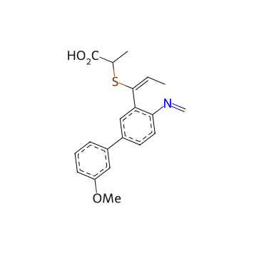 C=Nc1ccc(-c2cccc(OC)c2)cc1/C(=C\C)SC(C)C(=O)O